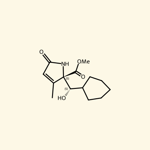 COC(=O)[C@]1([C@@H](O)C2CCCCC2)NC(=O)C=C1C